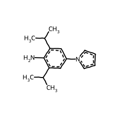 CC(C)c1cc(-n2cccc2)cc(C(C)C)c1N